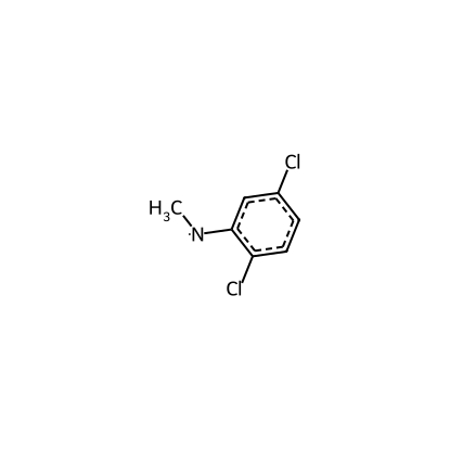 C[N]c1cc(Cl)ccc1Cl